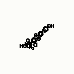 C[C@@](O)(C(=O)Nc1ccc(S(=O)(=O)c2ccc(N3CCC(O)CC3)cc2)cc1Cl)C(F)(F)F